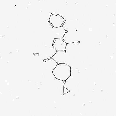 Cl.N#Cc1nc(C(=O)N2CCCN(C3CC3)CC2)ccc1Oc1cccnc1